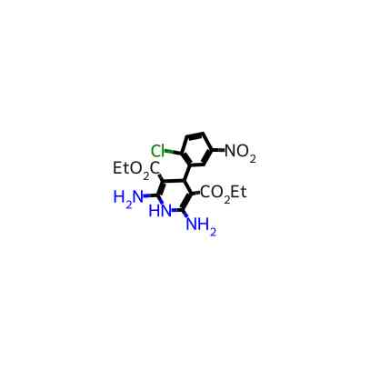 CCOC(=O)C1=C(N)NC(N)=C(C(=O)OCC)C1c1cc([N+](=O)[O-])ccc1Cl